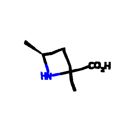 C[C@@H]1CC(C)(C(=O)O)N1